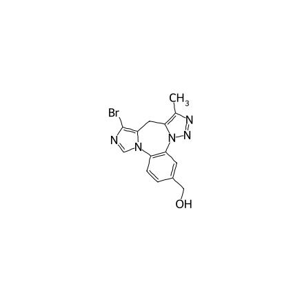 Cc1nnn2c1Cc1c(Br)ncn1-c1ccc(CO)cc1-2